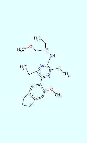 CCc1nc(-c2cc3c(cc2OC)CCC3)c(CC)nc1N[C@H](CC)COC